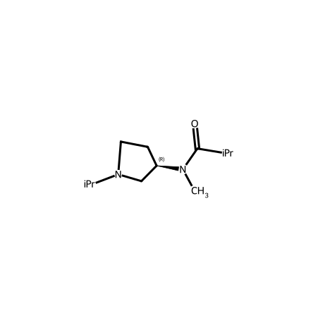 CC(C)C(=O)N(C)[C@@H]1CCN(C(C)C)C1